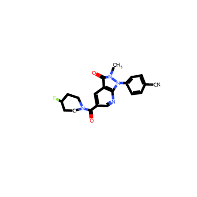 Cn1c(=O)c2cc(C(=O)N3CCC(F)CC3)cnc2n1-c1ccc(C#N)cc1